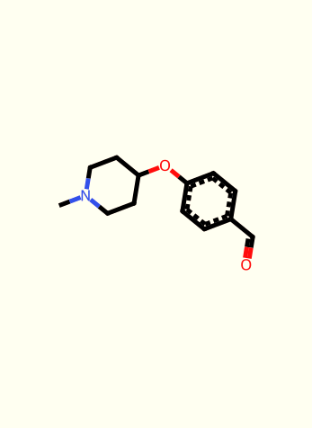 CN1CCC(Oc2ccc(C=O)cc2)CC1